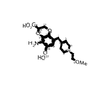 COCCN1CCC(Cc2cc(Cl)c(N)c3c2OCC(C(=O)O)O3)CC1.Cl